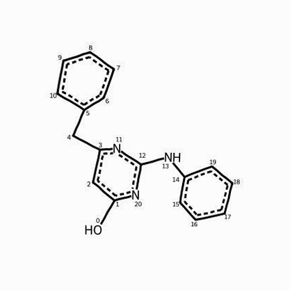 Oc1cc(Cc2ccccc2)nc(Nc2ccccc2)n1